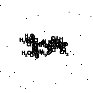 C=CC(=O)N[C@H]1COC[C@H]1Nc1cc2c(NCc3cnn(COc4cc(OC)c(Cl)c(-c5nc(N[C@@H](C)C6CC6)c6cc(N[C@@H]7COC[C@@H]7NC(=O)C=C)ncc6n5)c4Cl)c3)nc(-c3c(Cl)c(OC)cc(OC)c3Cl)nc2cn1